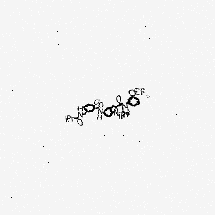 CC(C)C(=O)NCc1ccc(Cl)c(C(=O)Nc2ccc3c(c2)cc(C(=O)Nc2cccc(OC(F)(F)F)c2)n3C(C)C)c1